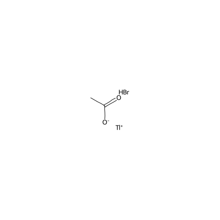 Br.CC(=O)[O-].[Tl+]